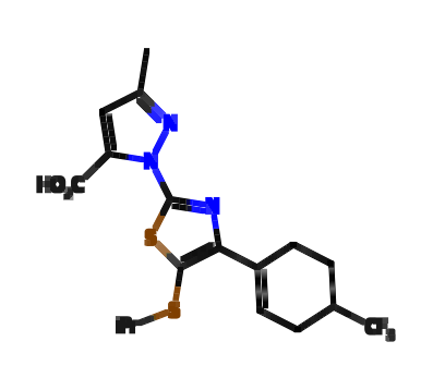 Cc1cc(C(=O)O)n(-c2nc(C3=CCC(C(F)(F)F)CC3)c(SC(C)C)s2)n1